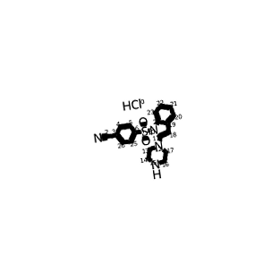 Cl.N#Cc1ccc(S(=O)(=O)n2c(N3CCNCC3)cc3ccccc32)cc1